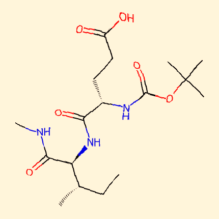 CC[C@H](C)[C@H](NC(=O)[C@H](CCC(=O)O)NC(=O)OC(C)(C)C)C(=O)NC